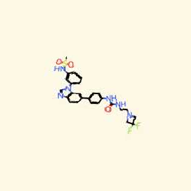 CS(=O)(=O)Nc1cccc(-n2cnc3ccc(-c4ccc(NC(=O)NCCN5CC(F)(F)C5)cc4)cc32)c1